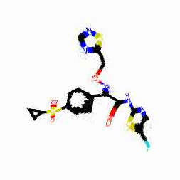 O=C(Nc1ncc(F)s1)/C(=N/OCc1ncns1)c1ccc(S(=O)(=O)C2CC2)cc1